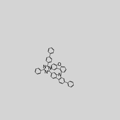 c1ccc(-c2ccc(-c3nc(-c4ccccc4)nc(-c4ccc5c6ccc(-c7ccccc7)cc6n(-c6cccc7oc8ccccc8c67)c5c4)n3)cc2)cc1